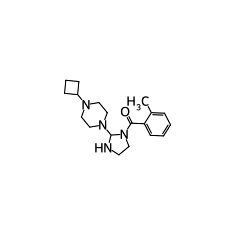 Cc1ccccc1C(=O)N1CCNC1N1CCN(C2CCC2)CC1